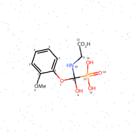 COc1ccccc1OC(O)(NCC(=O)O)P(=O)(O)O